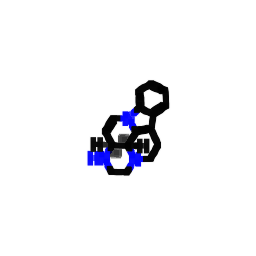 C1=Cn2c3c(c4ccccc42)CCN2CCN[C@@H]1[C@H]32